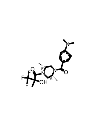 C[C@@H]1CN(C(=O)C(C)(O)C(F)(F)F)[C@H](C)CN1C(=O)c1ccc(N(C)C)cc1